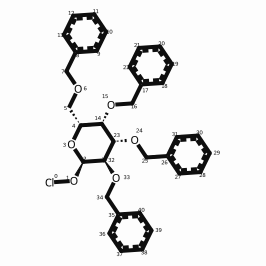 ClO[C@H]1O[C@H](COCc2ccccc2)[C@H](OCc2ccccc2)[C@H](OCc2ccccc2)[C@H]1OCc1ccccc1